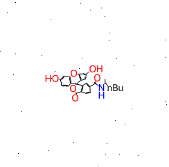 [CH2]CCCC(C)NC(=O)c1ccc2c(c1)C1(OC2=O)c2ccc(O)cc2Oc2cc(O)ccc21